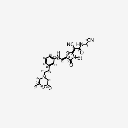 CCn1c(=C(C#N)C(=O)NCC#N)sc(=CNc2cccc(CCN3CC(C)OC(C)C3)c2)c1=O